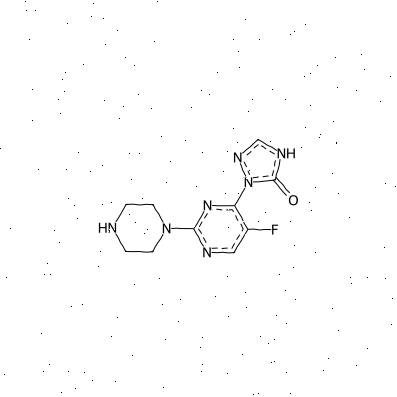 O=c1[nH]cnn1-c1nc(N2CCNCC2)ncc1F